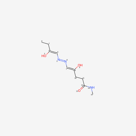 CCC(O)=CN=NC=C(O)CCC(=O)NC